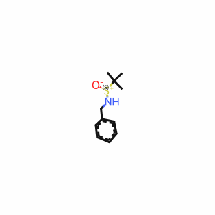 CC(C)(C)[S@@+]([O-])NCc1ccccc1